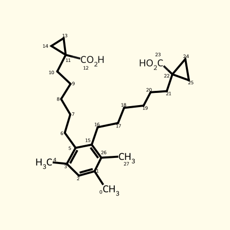 Cc1cc(C)c(CCCCCC2(C(=O)O)CC2)c(CCCCCCC2(C(=O)O)CC2)c1C